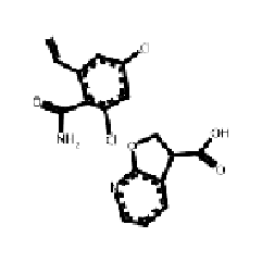 C=Cc1cc(Cl)cc(Cl)c1C(N)=O.O=C(O)C1COc2ncccc21